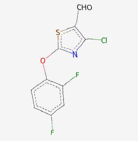 O=Cc1sc(Oc2ccc(F)cc2F)nc1Cl